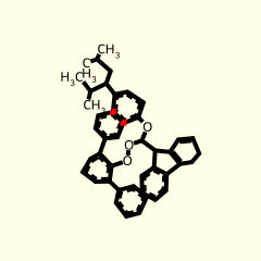 CC(C)CC(c1ccc(OC(OOc2c(-c3ccccc3)cccc2-c2ccccc2)C2C3=C(CCC=C3)c3ccccc32)cc1)C(C)C